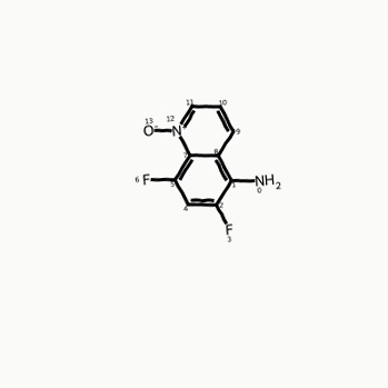 Nc1c(F)cc(F)c2c1ccc[n+]2[O-]